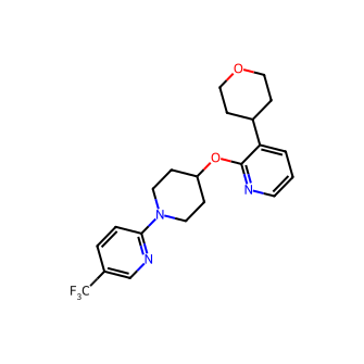 FC(F)(F)c1ccc(N2CCC(Oc3ncccc3C3CCOCC3)CC2)nc1